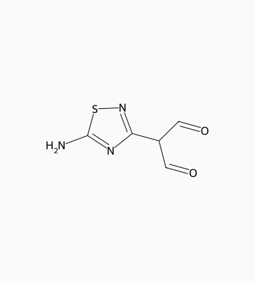 Nc1nc(C(C=O)C=O)ns1